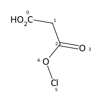 O=C(O)CC(=O)OCl